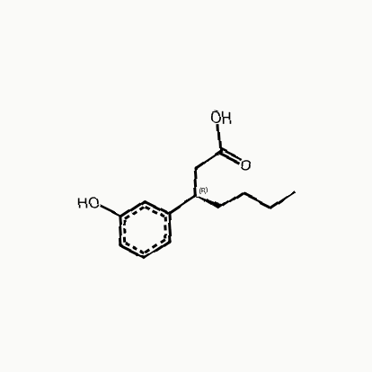 CCCC[C@H](CC(=O)O)c1cccc(O)c1